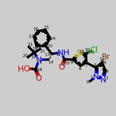 Cn1ncc(Br)c1-c1cc(C(=O)N[C@H](CN(C(=O)O)C(C)(C)C)c2ccccc2)sc1Cl